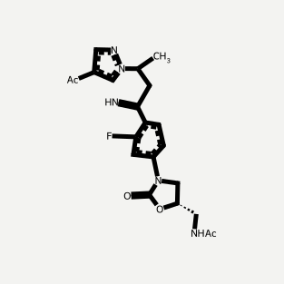 CC(=O)NC[C@H]1CN(c2ccc(C(=N)CC(C)n3cc(C(C)=O)cn3)c(F)c2)C(=O)O1